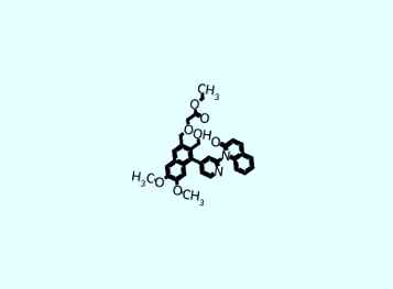 CCOC(=O)COCc1cc2cc(OC)c(OC)cc2c(-c2ccnc(-n3c(=O)ccc4ccccc43)c2)c1CO